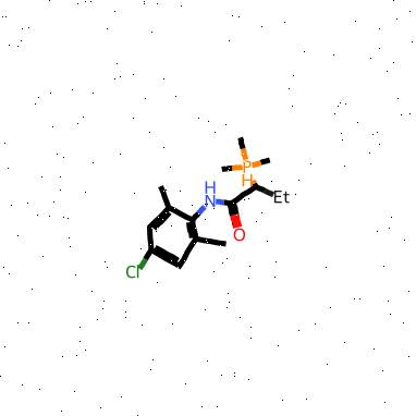 CCC(C(=O)Nc1c(C)cc(Cl)cc1C)[PH](C)(C)C